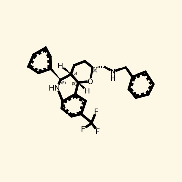 FC(F)(F)c1ccc2c(c1)[C@H]1O[C@@H](CNCc3ccccc3)CC[C@H]1[C@H](c1ccccc1)N2